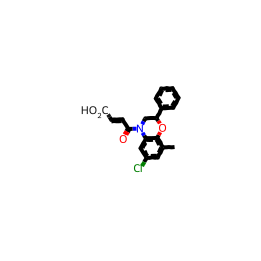 Cc1cc(Cl)cc2c1OC(c1ccccc1)CN2C(=O)/C=C/C(=O)O